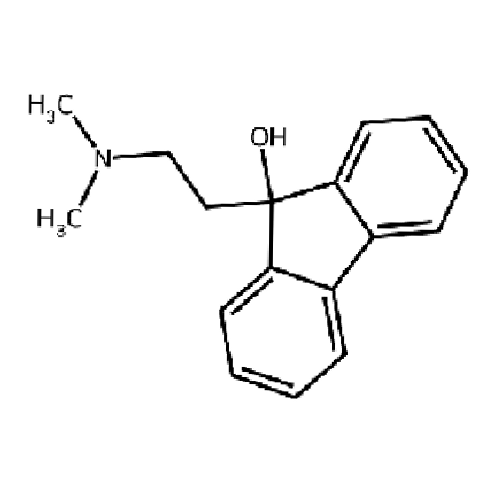 CN(C)CCC1(O)c2ccccc2-c2ccccc21